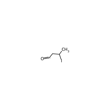 CC(I)C[C]=O